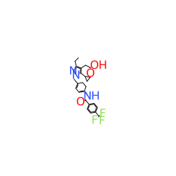 CCc1nn(CC2=CC=C(NC(=O)c3ccc(C(F)(F)F)cc3)CC2)c(C2CC2)c1CC(=O)O